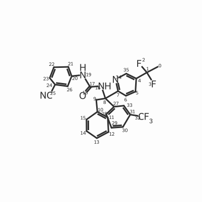 CC(F)(F)c1ccc(C(Cc2ccccc2)(NC(=O)Nc2cccc(C#N)c2)c2cccc(C(F)(F)F)c2)nc1